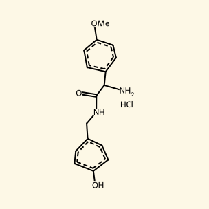 COc1ccc(C(N)C(=O)NCc2ccc(O)cc2)cc1.Cl